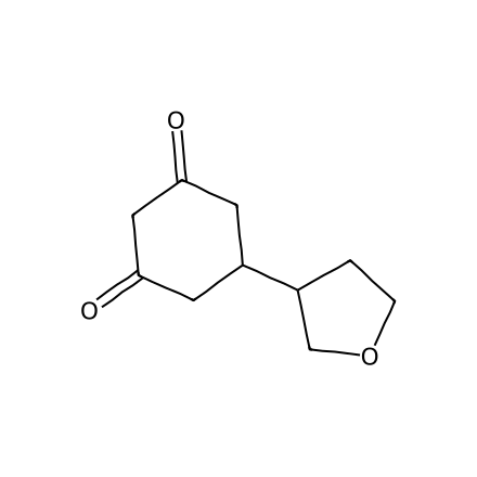 O=C1CC(=O)CC(C2CCOC2)C1